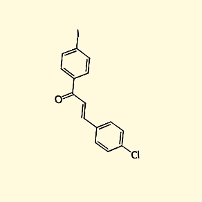 O=C(/C=C/c1ccc(Cl)cc1)c1ccc(I)cc1